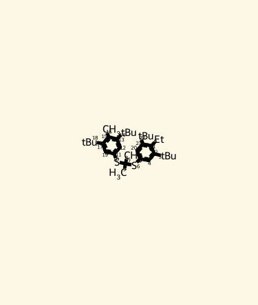 CCc1c(C(C)(C)C)cc(SC(C)(C)Sc2cc(C(C)(C)C)c(C)c(C(C)(C)C)c2)cc1C(C)(C)C